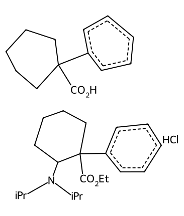 CCOC(=O)C1(c2ccccc2)CCCCC1N(C(C)C)C(C)C.Cl.O=C(O)C1(c2ccccc2)CCCCC1